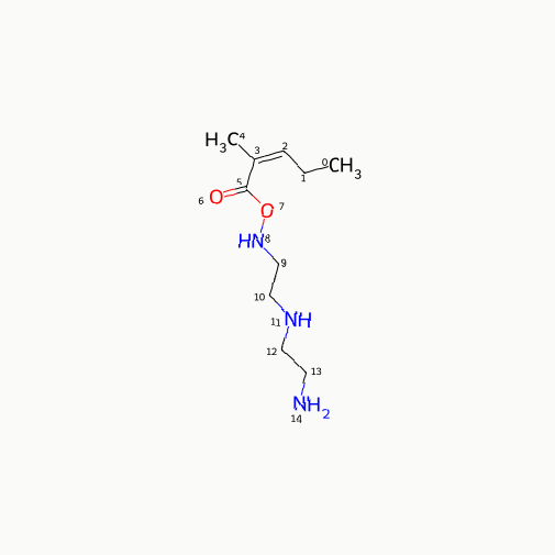 CCC=C(C)C(=O)ONCCNCCN